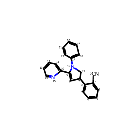 N#Cc1ccccc1C1C=C(c2ccccn2)N(c2ccccc2)C1